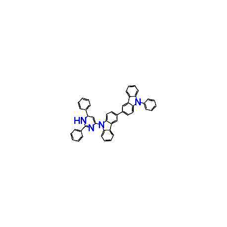 C1=C(n2c3ccccc3c3cc(-c4ccc5c(c4)c4ccccc4n5-c4ccccc4)ccc32)N=C(c2ccccc2)NC1c1ccccc1